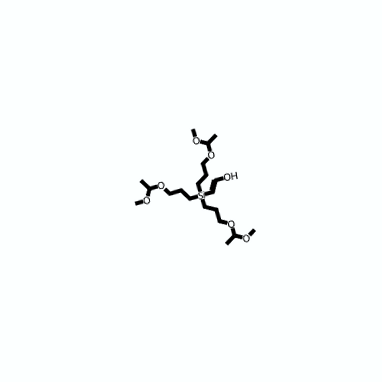 COC(C)OCCC[Si](C=CO)(CCCOC(C)OC)CCCOC(C)OC